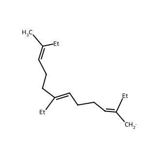 [CH2]/C(=C/CC/C=C(\CC)CC/C=C(/C)CC)CC